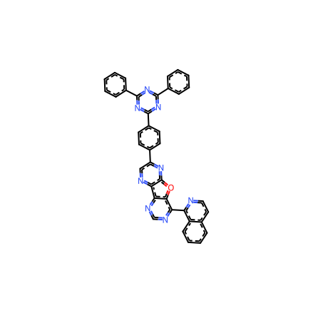 c1ccc(-c2nc(-c3ccccc3)nc(-c3ccc(-c4cnc5c(n4)oc4c(-c6nccc7ccccc67)ncnc45)cc3)n2)cc1